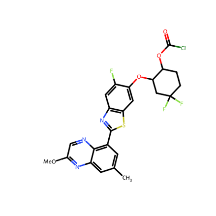 COc1cnc2c(-c3nc4cc(F)c(OC5CC(F)(F)CCC5OC(=O)Cl)cc4s3)cc(C)cc2n1